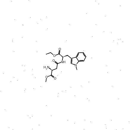 CCOC(=O)[C@@H](Cc1cn(C)c2ccccc12)NC(=O)C[C@H](N)C(=O)OC